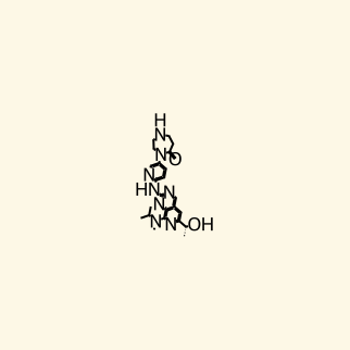 CC(C)N(C)c1nc([C@@H](C)O)cc2cnc(Nc3ccc(N4CCNCCC4=O)cn3)nc12